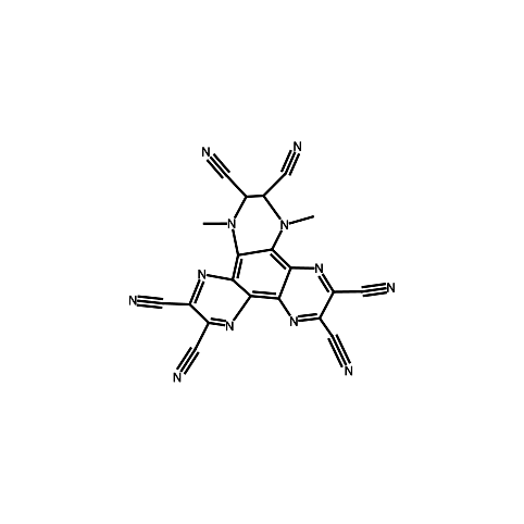 CN1c2c(c3nc(C#N)c(C#N)nc3c3nc(C#N)c(C#N)nc23)N(C)C(C#N)C1C#N